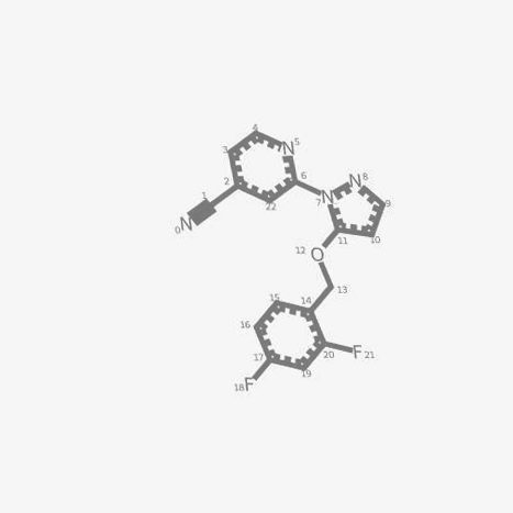 N#Cc1ccnc(-n2nccc2OCc2ccc(F)cc2F)c1